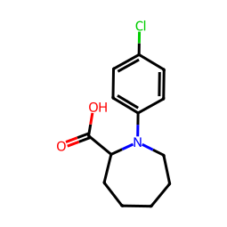 O=C(O)C1CCCCCN1c1ccc(Cl)cc1